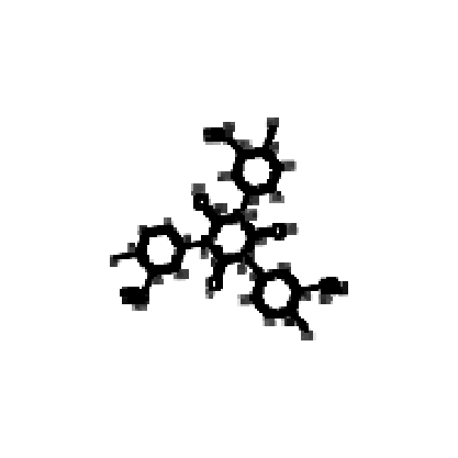 Cc1ccc(-n2c(=O)n(-c3ccc(C)c(C(C)(C)C)c3)c(=O)n(-c3ccc(C)c(C(C)(C)C)c3)c2=O)cc1C(C)(C)C